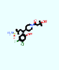 CC(C)(O)CC(=O)N1CCC(C(CC(C)(C)[S+](N)[O-])c2cc(Cl)c(Cl)cc2O)CC1